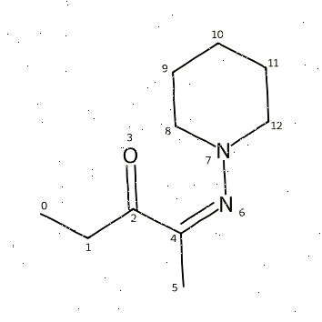 CCC(=O)C(C)=NN1CCCCC1